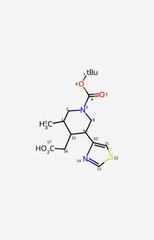 CC1CN(C(=O)OC(C)(C)C)CC(c2cscn2)C1CC(=O)O